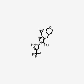 Oc1c(CC2CCOCC2)c(C2CC2)nn1-c1cc(C(F)(F)F)n[nH]1